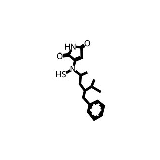 CC(C)C(Cc1ccccc1)CC(C)N(S)C1=CC(=O)NC1=O